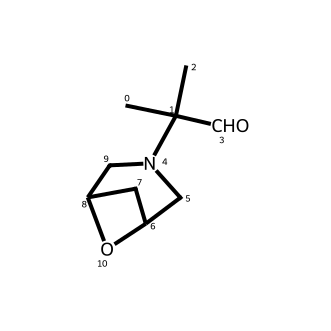 CC(C)(C=O)N1CC2CC(C1)O2